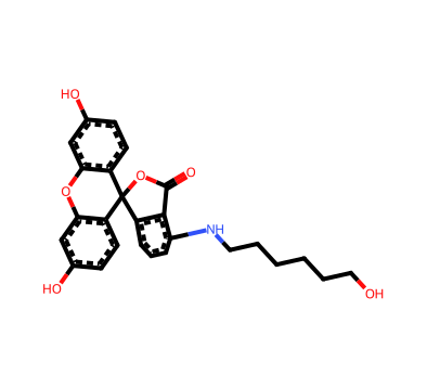 O=C1OC2(c3ccc(O)cc3Oc3cc(O)ccc32)c2cccc(NCCCCCCO)c21